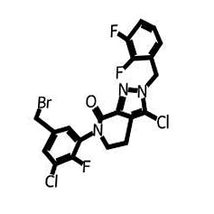 O=C1c2nn(Cc3cccc(F)c3F)c(Cl)c2CCN1c1cc(CBr)cc(Cl)c1F